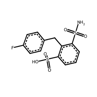 NS(=O)(=O)c1cccc(S(=O)(=O)O)c1Cc1ccc(F)cc1